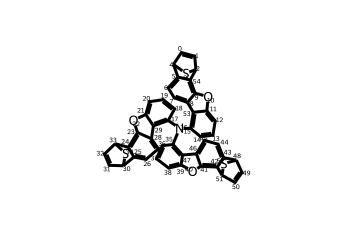 C1=CC2SC1c1ccc3c(oc4cccc(N(c5cccc6oc7c8c(ccc7c56)C5C=CC8S5)c5cccc6oc7c8c(ccc7c56)C5C=CC8S5)c43)c12